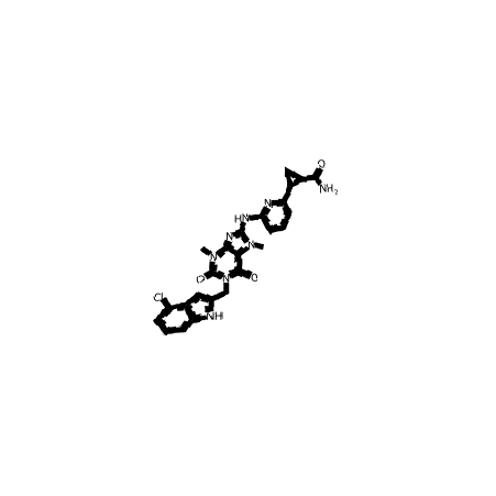 Cn1c(Nc2cccc(C3CC3C(N)=O)n2)nc2c1c(=O)n(Cc1cc3c(Cl)cccc3[nH]1)c(=O)n2C